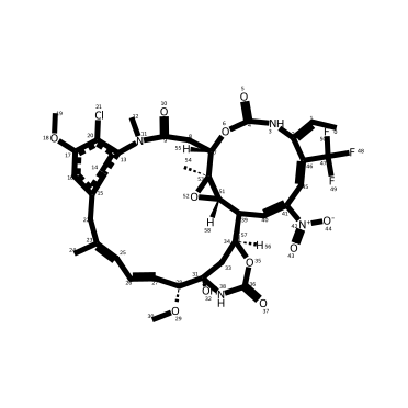 C\C=C1NC(=O)O[C@H]2CC(=O)N(C)c3cc(cc(OC)c3Cl)C/C(C)=C/C=C/[C@@H](OC)[C@@]3(O)C[C@H](OC(=O)N3)[C@@H](\C=C([N+](=O)[O-])/C=C\1C(F)(F)F)[C@@H]1O[C@@]21C